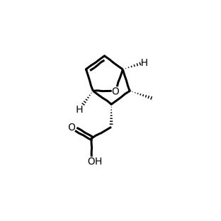 C[C@@H]1[C@H](CC(=O)O)[C@H]2C=C[C@@H]1O2